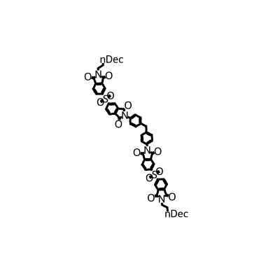 CCCCCCCCCCCCN1C(=O)c2ccc(S(=O)(=O)c3ccc4c(c3)C(=O)N(c3ccc(Cc5ccc(N6C(=O)c7ccc(S(=O)(=O)c8ccc9c(c8)C(=O)N(CCCCCCCCCCCC)C9=O)cc7C6=O)cc5)cc3)C4=O)cc2C1=O